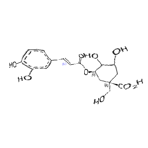 O=C(/C=C/c1ccc(O)c(O)c1)O[C@@H]1C[C@](CO)(C(=O)O)CC(O)C1O